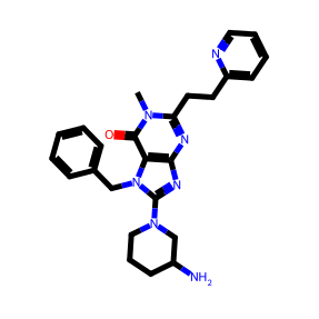 Cn1c(CCc2ccccn2)nc2nc(N3CCCC(N)C3)n(Cc3ccccc3)c2c1=O